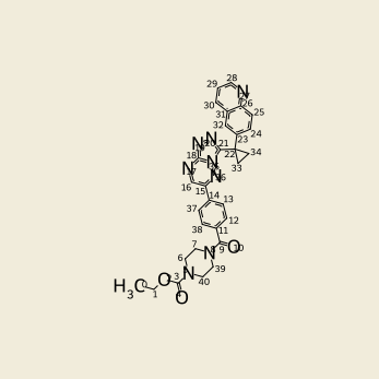 CCOC(=O)N1CCN(C(=O)c2ccc(-c3cnc4nnc(C5(c6ccc7ncccc7c6)CC5)n4n3)cc2)CC1